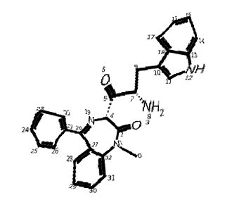 CN1C(=O)[C@@H](C(=O)[C@@H](N)Cc2c[nH]c3ccccc23)N=C(c2ccccc2)c2ccccc21